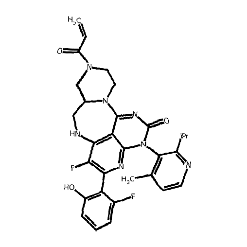 C=CC(=O)N1CCN2c3nc(=O)n(-c4c(C)ccnc4C(C)C)c4nc(-c5c(O)cccc5F)c(F)c(c34)NCC2C1